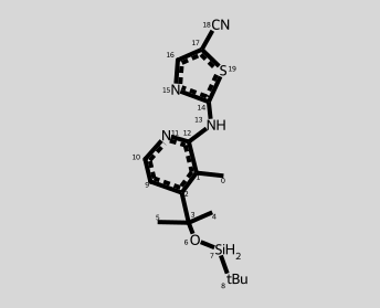 Cc1c(C(C)(C)O[SiH2]C(C)(C)C)ccnc1Nc1ncc(C#N)s1